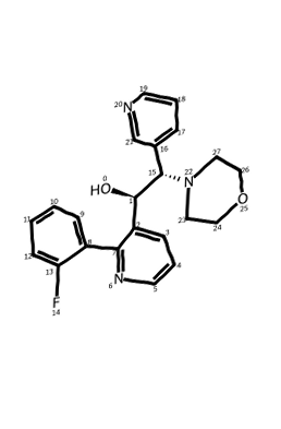 O[C@H](c1cccnc1-c1ccccc1F)[C@H](c1cccnc1)N1CCOCC1